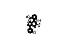 COC(=O)c1cccc2[nH]c(C(C(C)C)N(C)C)c(-c3cncc(-c4cccc(Cl)c4)c3)c12